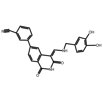 N#Cc1cccc(-c2ccc3c(c2)C(=CNCc2ccc(O)c(O)c2)C(=O)NC3=O)c1